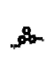 COc1cccc(-c2nnc(N)nc2-c2ccccc2)c1